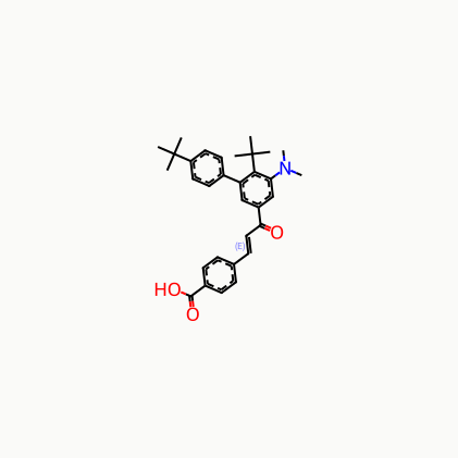 CN(C)c1cc(C(=O)/C=C/c2ccc(C(=O)O)cc2)cc(-c2ccc(C(C)(C)C)cc2)c1C(C)(C)C